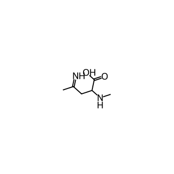 CNC(CC(C)=N)C(=O)O